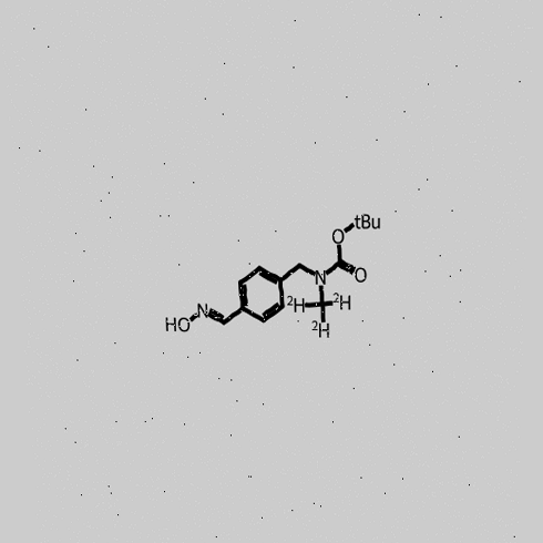 [2H]C([2H])([2H])N(Cc1ccc(C=NO)cc1)C(=O)OC(C)(C)C